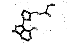 CC(C)(C)OC(=O)NCc1ccc(-c2n[nH]c3ncnc(N)c23)o1